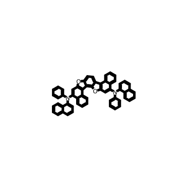 c1ccc(N(c2cccc3ccccc23)c2cc3oc4c(ccc5oc6cc(N(c7ccccc7)c7cccc8ccccc78)c7ccccc7c6c54)c3c3ccccc23)cc1